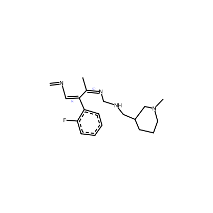 C=N/C=C(\C(C)=N/CNCC1CCCN(C)C1)c1ccccc1F